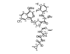 C=C[C@@H]1C[C@]1(NC(=O)[C@@H]1C[C@@H](Oc2ncc(OC)c3ccc(Cl)cc23)CN1C(=O)[C@H](Nc1cccc(F)c1F)C(C)(C)C)C(=O)NS(=O)(=O)C1CC1